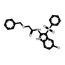 O=C(COCc1ccccc1)Nc1[nH]c2ccc(Cl)cc2c1S(=O)(=O)c1ccccc1